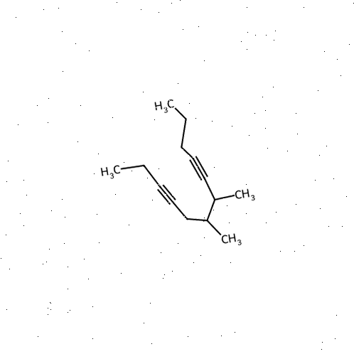 CCC#CC[C](C)C(C)C#CCCC